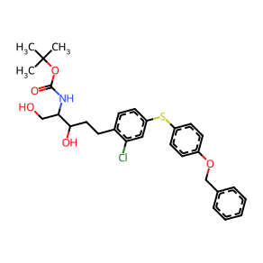 CC(C)(C)OC(=O)NC(CO)C(O)CCc1ccc(Sc2ccc(OCc3ccccc3)cc2)cc1Cl